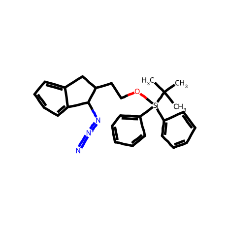 CC(C)(C)[Si](OCCC1Cc2ccccc2C1N=[N+]=[N-])(c1ccccc1)c1ccccc1